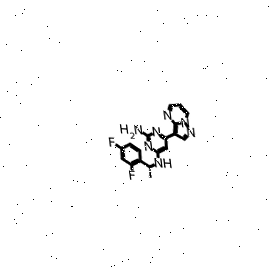 C[C@H](Nc1cc(-c2cnn3cccnc23)nc(N)n1)c1ccc(F)cc1F